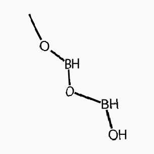 COBOBO